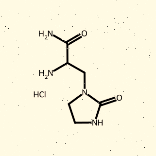 Cl.NC(=O)C(N)CN1CCNC1=O